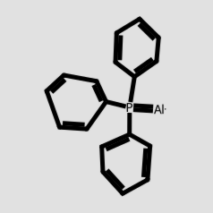 [Al]=[P](c1ccccc1)(c1ccccc1)c1ccccc1